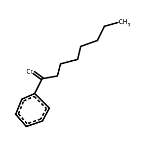 CCCCCCC[C](=[Cr])c1ccccc1